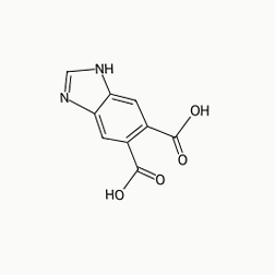 O=C(O)c1cc2nc[nH]c2cc1C(=O)O